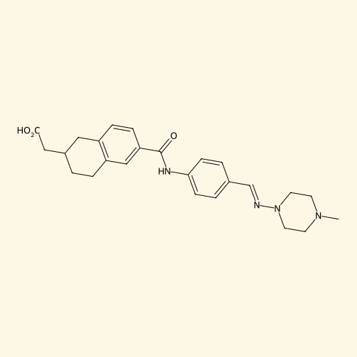 CN1CCN(N=Cc2ccc(NC(=O)c3ccc4c(c3)CCC(CC(=O)O)C4)cc2)CC1